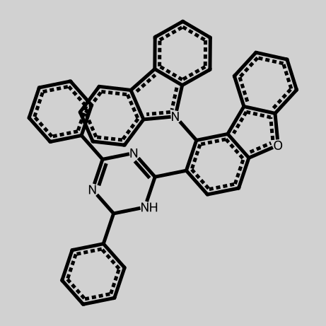 c1ccc(C2=NC(c3ccccc3)NC(c3ccc4oc5ccccc5c4c3-n3c4ccccc4c4ccccc43)=N2)cc1